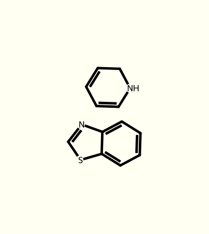 C1=CCNC=C1.c1ccc2scnc2c1